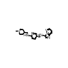 CN1CCC(CNc2ccc(CNc3cnc4cccnn34)cn2)CC1